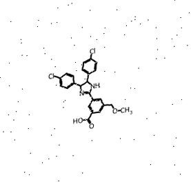 COCc1cc(C(=O)O)cc(C2=NC(c3ccc(Cl)cc3)C(c3ccc(Cl)cc3)N2)c1